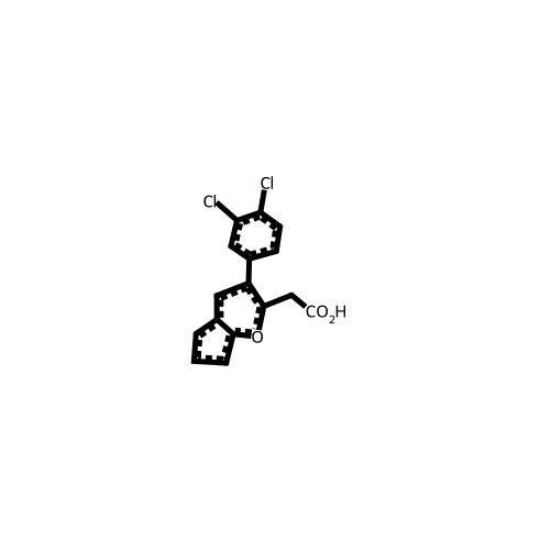 O=C(O)Cc1oc2cccc-2cc1-c1ccc(Cl)c(Cl)c1